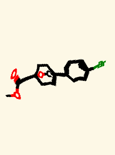 COC(=O)C12CCC(c3ccc(Br)cc3)(CC1)CO2